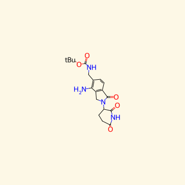 CC(C)(C)OC(=O)NCc1ccc2c(c1N)CN(C1CCC(=O)NC1=O)C2=O